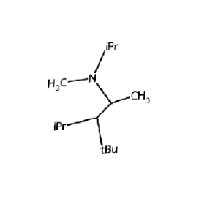 CC(C)C(C(C)N(C)C(C)C)C(C)(C)C